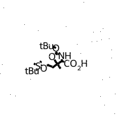 CC(C)(C)OC(=O)NC(C(=O)O)C(C)(C)CCO[Si](C)(C)C(C)(C)C